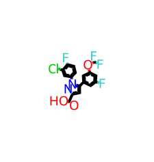 O=C(O)c1cc(-c2cc(F)cc(OC(F)F)c2)n(-c2ccc(F)c(Cl)c2)n1